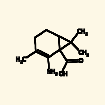 CC1=C(N)C2(C(=O)O)C(CC1)C2(C)C